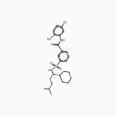 CN(C)CCC(NS(=O)(=O)c1cccc(C(=O)Nc2cc(Cl)ccc2O)c1)C1CCCCC1